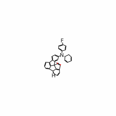 Fc1ccc(N(c2ccc3c(c2)C24C5=C(C=CC[C@@H]5c5cccc-3c52)c2ccccc24)[C@H]2C=CC=CC2)cc1